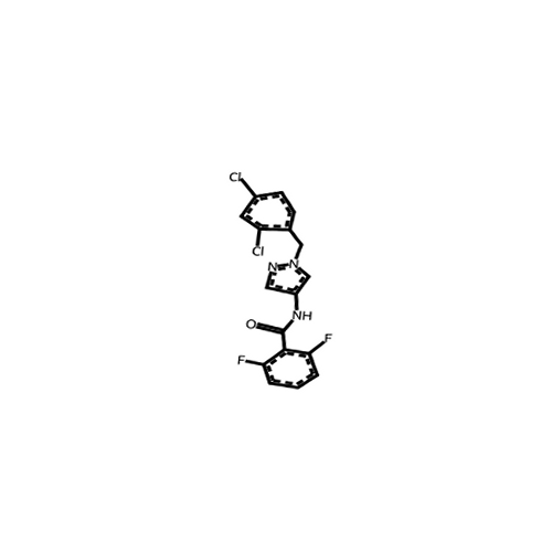 O=C(Nc1cnn(Cc2ccc(Cl)cc2Cl)c1)c1c(F)cccc1F